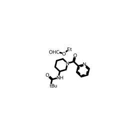 CC(C)(C)C(=O)NC1CCCN(C(=O)c2ccccn2)C1.CCOC=O